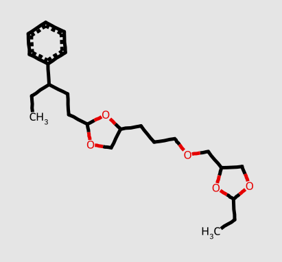 CCC1OCC(COCCCC2COC(CCC(CC)c3ccccc3)O2)O1